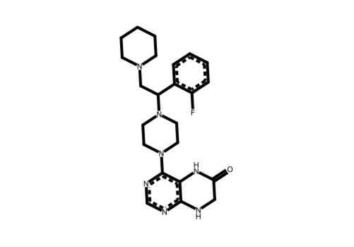 O=C1CNc2ncnc(N3CCN(C(CN4CCCCC4)c4ccccc4F)CC3)c2N1